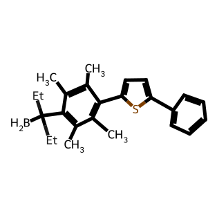 BC(CC)(CC)c1c(C)c(C)c(-c2ccc(-c3ccccc3)s2)c(C)c1C